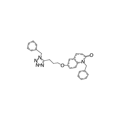 O=c1ccc2cc(OCCCc3nnnn3Cc3ccccc3)ccc2n1Cc1ccccc1